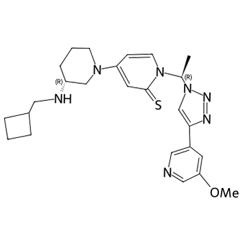 COc1cncc(-c2cn([C@H](C)n3ccc(N4CCC[C@@H](NCC5CCC5)C4)cc3=S)nn2)c1